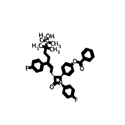 CC(C)(CC/C(=C/C[C@H]1C(=O)N(c2ccc(F)cc2)[C@@H]1c1ccc(OC(=O)c2ccccc2)cc1)c1ccc(F)cc1)[Si](C)(C)O